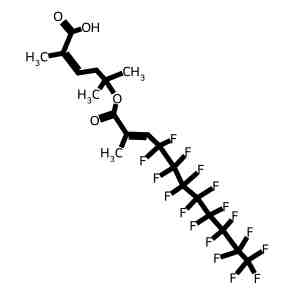 CC(=CCC(C)(C)OC(=O)C(C)=CC(F)(F)C(F)(F)C(F)(F)C(F)(F)C(F)(F)C(F)(F)C(F)(F)C(F)(F)F)C(=O)O